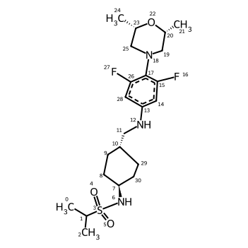 CC(C)S(=O)(=O)N[C@H]1CC[C@H](CNc2cc(F)c(N3C[C@@H](C)O[C@@H](C)C3)c(F)c2)CC1